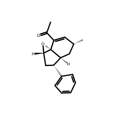 CC(=O)C1=C[C@H](C)C[C@H]2[C@H](c3ccccc3)C[C@@H]3O[C@@]132